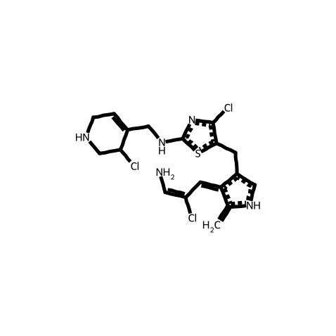 C=c1[nH]cc(Cc2sc(NCC3=CCNCC3Cl)nc2Cl)/c1=C/C(Cl)=C\N